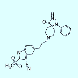 CS(=O)(=O)C1=NC2=CC=C(CCCN3CCC4(CC3)C(=O)NCN4c3ccccc3)CC2=C1C#N